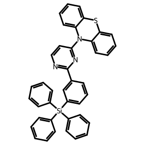 c1ccc([Si](c2ccccc2)(c2ccccc2)c2cccc(-c3nccc(N4c5ccccc5Sc5ccccc54)n3)c2)cc1